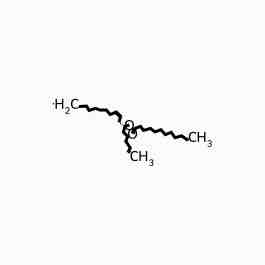 [CH2]CCCCCCC/C=C\C[C@@H](CCCCCC)OC(=O)CCCCCCCCCCC